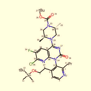 CC(C)c1nccc(CCO[Si](C)(C)C(C)(C)C)c1-n1c(=O)nc(N2C[C@@H](C)N(C(=O)OC(C)(C)C)C[C@@H]2C)c2cc(F)c(Cl)nc21